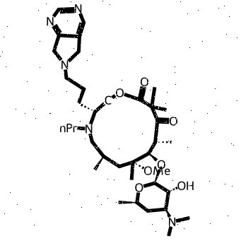 CCCN1C[C@H](C)C[C@@](C)(OC)[C@H](O[C@@H]2O[C@H](C)C[C@H](N(C)C)[C@H]2O)[C@@H](C)C(=O)C(C)(C)C(=O)OC[C@H]1CCCN1Cc2cncnc2C1